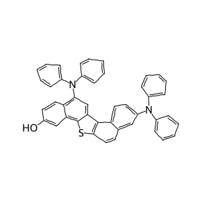 Oc1ccc2c(N(c3ccccc3)c3ccccc3)cc3c(sc4ccc5cc(N(c6ccccc6)c6ccccc6)ccc5c43)c2c1